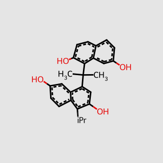 CC(C)c1c(O)cc(C(C)(C)c2c(O)ccc3ccc(O)cc23)c2cc(O)ccc12